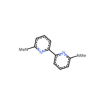 CNc1cccc(-c2cccc(NC)n2)n1